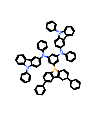 C1=CCC(C2C=Cc3c(c4cc(-c5ccccc5)ccc4p3-c3cc(N(c4ccccc4)c4ccc5c(c4)c4ccccc4n5-c4ccccc4)cc(N(c4ccccc4)c4ccc5c(c4)c4ccccc4n5-c4ccccc4)c3)C2)C=C1